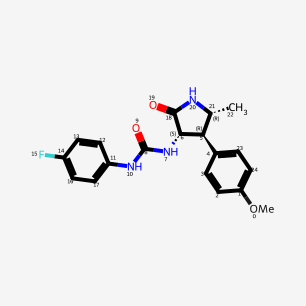 COc1ccc([C@H]2[C@H](NC(=O)Nc3ccc(F)cc3)C(=O)N[C@@H]2C)cc1